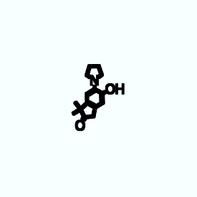 CC1(C)C(=O)Cc2cc(O)c(N3CCCC3)cc21